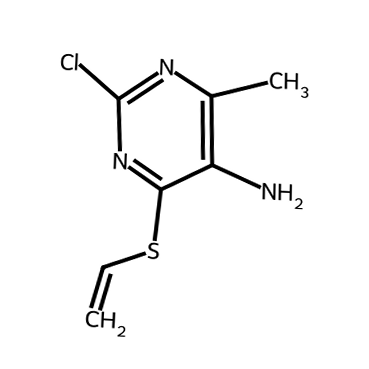 C=CSc1nc(Cl)nc(C)c1N